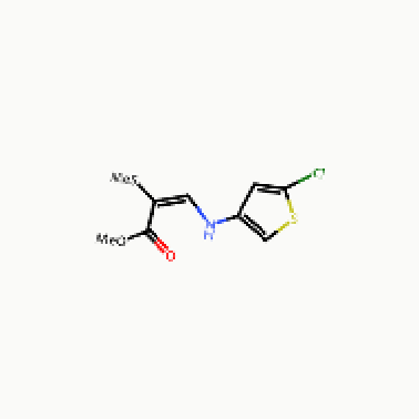 COC(=O)C(=CNc1csc(Cl)c1)SC